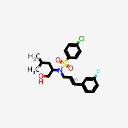 CC(C)CC(CO)N(C/C=C/c1cccc(F)c1)S(=O)(=O)c1ccc(Cl)cc1